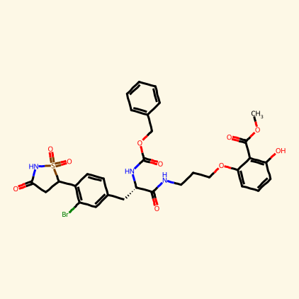 COC(=O)c1c(O)cccc1OCCCNC(=O)[C@H](Cc1ccc(C2CC(=O)NS2(=O)=O)c(Br)c1)NC(=O)OCc1ccccc1